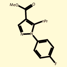 CCCc1c(C(=O)OC)cnn1-c1ccc(F)cc1